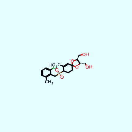 Cc1cccc(Cl)c1CS(=O)(=O)C1CCC2(C=C1C(=O)O)O[C@@H](CO)[C@H](CO)O2